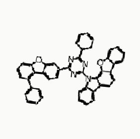 C1=CCC(c2nc(-c3ccc4c(c3)oc3cccc(-c5ccccc5)c34)nc(-n3c4ccccc4c4ccc5c6ccccc6oc5c43)n2)C=C1